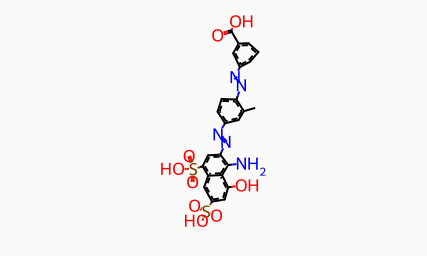 Cc1cc(/N=N/c2cc(S(=O)(=O)O)c3cc(S(=O)(=O)O)cc(O)c3c2N)ccc1/N=N/c1cccc(C(=O)O)c1